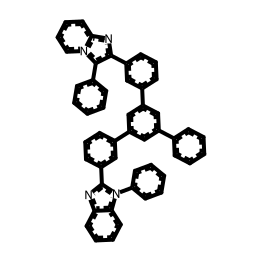 c1ccc(-c2cc(-c3cccc(-c4nc5ccccn5c4-c4ccccc4)c3)cc(-c3cccc(-c4nc5ccccc5n4-c4ccccc4)c3)c2)cc1